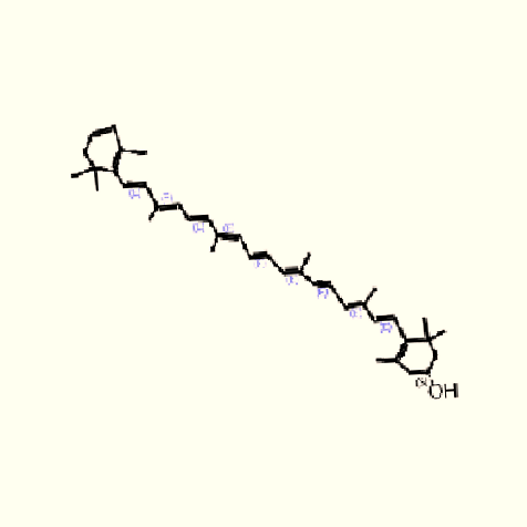 CC1=C(/C=C/C(C)=C/C=C/C(C)=C/C=C/C=C(C)/C=C/C=C(C)/C=C/C2=C(C)C[C@@H](O)CC2(C)C)C(C)(C)CC=C1